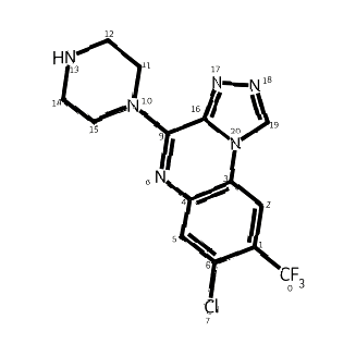 FC(F)(F)c1cc2c(cc1Cl)nc(N1CCNCC1)c1nncn12